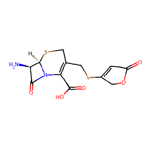 N[C@@H]1C(=O)N2C(C(=O)O)=C(CSC3=CC(=O)OC3)CS[C@H]12